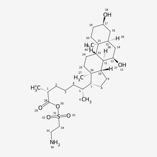 C[C@H](CCC[C@@H](C)[C@H]1CC[C@H]2[C@@H]3[C@H](O)C[C@@H]4C[C@H](O)CC[C@]4(C)[C@H]3CC[C@]12C)C(=O)OS(=O)(=O)CCN